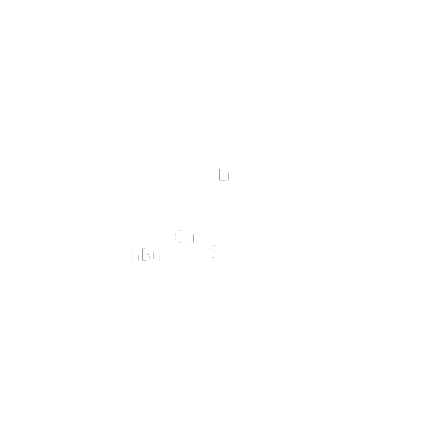 CCC[CH2][Cu-][S]c1ccccc1.[Li+]